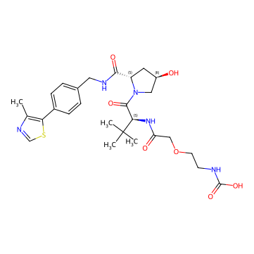 Cc1ncsc1-c1ccc(CNC(=O)[C@@H]2C[C@@H](O)CN2C(=O)[C@@H](NC(=O)COCCNC(=O)O)C(C)(C)C)cc1